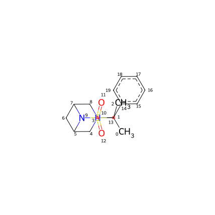 CC(C)N1CC2CC(C1)N2S(=O)(=O)Cc1ccccc1